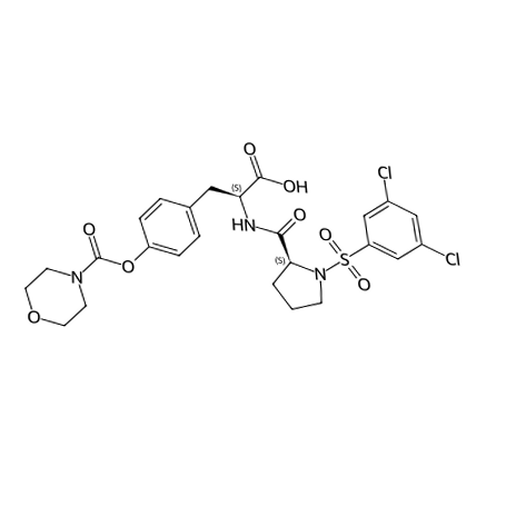 O=C(O)[C@H](Cc1ccc(OC(=O)N2CCOCC2)cc1)NC(=O)[C@@H]1CCCN1S(=O)(=O)c1cc(Cl)cc(Cl)c1